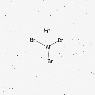 [Br][Al]([Br])[Br].[H+]